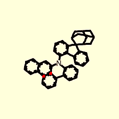 c1ccc(-c2ccccc2N(c2ccc3ccccc3c2)c2cccc3c2-c2ccccc2C32C3CC4CC(C3)CC2C4)cc1